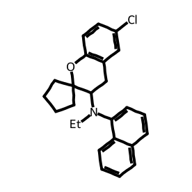 CCN(c1cccc2ccccc12)C1Cc2cc(Cl)ccc2OC12CCCC2